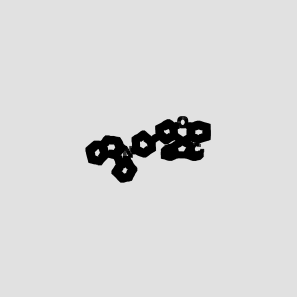 c1ccc2c(c1)Oc1ccc(-c3ccc(-n4c5ccccc5c5c6ccccc6ccc54)cc3)cc1C21c2ccccc2-c2ccccc21